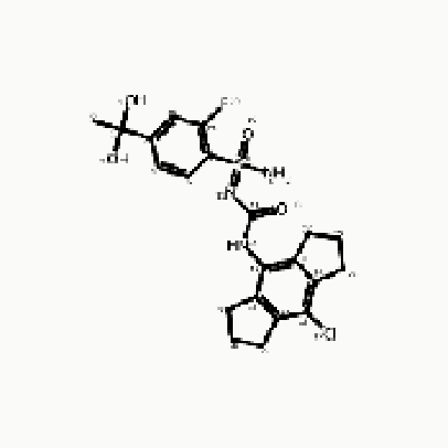 CC(O)(O)c1ccc(S(N)(=O)=NC(=O)Nc2c3c(c(Cl)c4c2CCC4)CCC3)c(F)c1